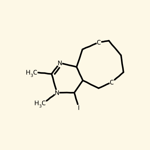 CC1=NC2CCCCCCCC2C(I)N1C